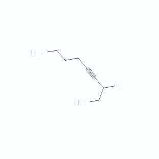 [CH2]CCCC#CC(C)CC